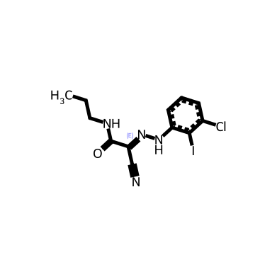 CCCNC(=O)/C(C#N)=N/Nc1cccc(Cl)c1I